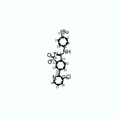 CC(C)(C)c1ccc(NC2=NS(=O)(=O)c3cc(-c4ncccc4Cl)ccc32)cc1